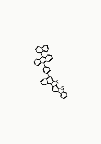 c1ccc2c(-c3c4ccccc4c(-c4ccc(-c5cc6sc7c(ccc8c9ccccc9sc87)c6c6ccccc56)cc4)c4ccccc34)cccc2c1